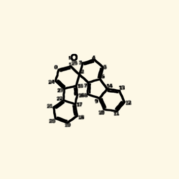 C1=CC2(C=CC=C3C2=Cc2ccccc23)C2=Cc3ccccc3C2=C1.[O]